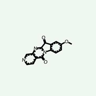 COc1ccc2c(c1)C(=O)c1nc3cnccc3c(=O)n1-2